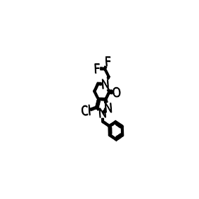 O=C1c2nn(Cc3ccccc3)c(Cl)c2CCN1CC(F)F